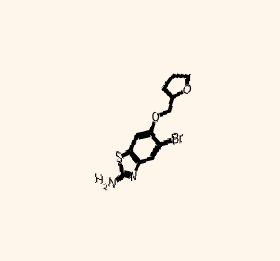 Nc1nc2cc(Br)c(OCC3CCCO3)cc2s1